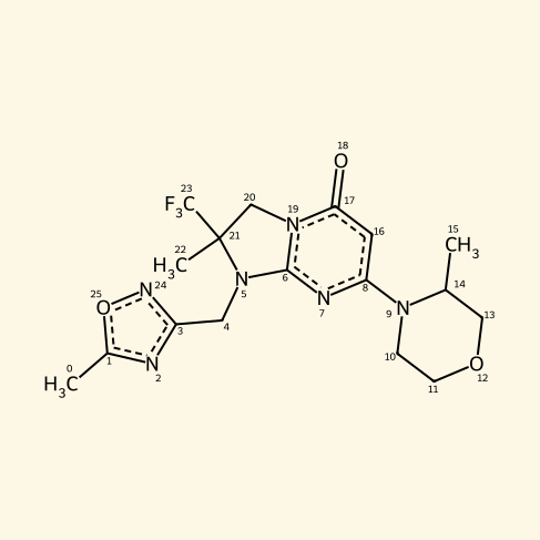 Cc1nc(CN2c3nc(N4CCOCC4C)cc(=O)n3CC2(C)C(F)(F)F)no1